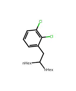 CCCCCCC(CCCCCC)Cc1cccc(Cl)c1Cl